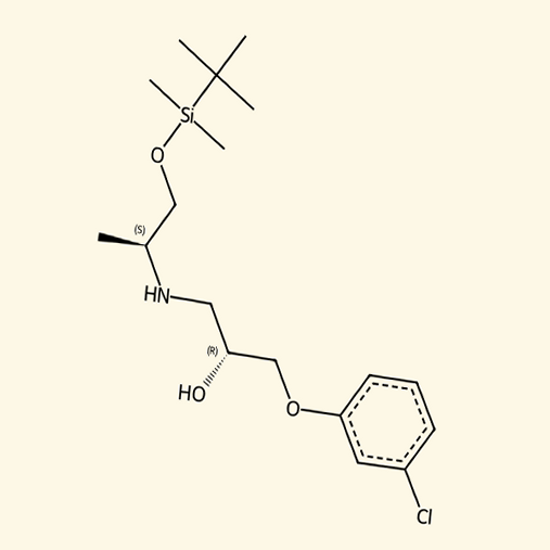 C[C@@H](CO[Si](C)(C)C(C)(C)C)NC[C@@H](O)COc1cccc(Cl)c1